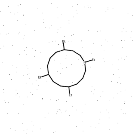 CCC1CCCC(CC)CCN(CC)CCCC(CC)CC1